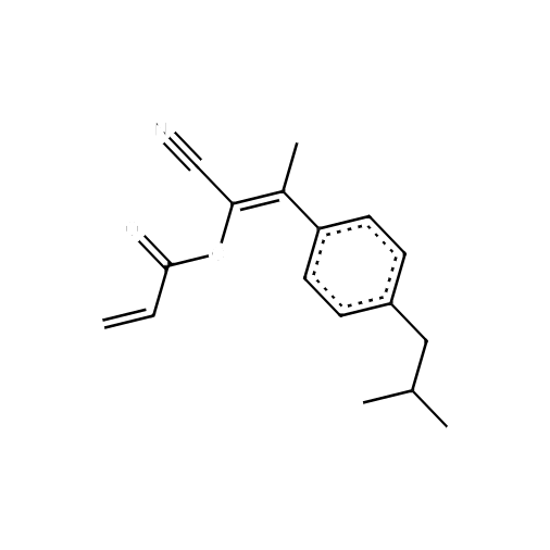 C=CC(=O)OC(C#N)=C(C)c1ccc(CC(C)C)cc1